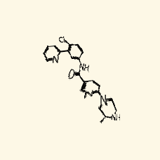 C[C@H]1CN(c2ccc(C(=O)Nc3ccc(Cl)c(-c4ccccn4)c3)cn2)CCN1